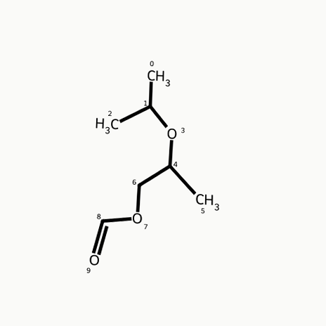 CC(C)OC(C)COC=O